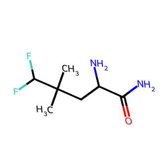 CC(C)(CC(N)C(N)=O)C(F)F